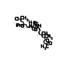 CC1=CC[C@@H]([C@@H](C)/C=C(C)/C=C\C=C/C(=O)N[C@H](C(=O)N/C=C\C[C@H](C/C=C(\C)Cl)OC(C)C)C(C)C)OC1=O